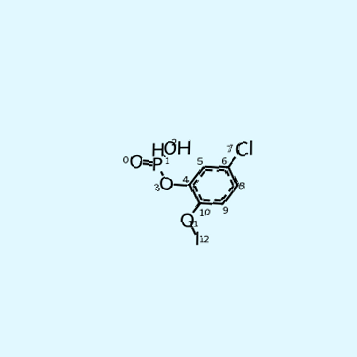 O=[PH](O)Oc1cc(Cl)ccc1OI